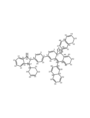 CC12C=CC(c3ccc(C4Nc5ccccc5N4C4CC=CCC4)cc3)=CC1=C(C1=CC3C=CC=CC3C=C1)C1=CCCC=C1C2c1ccc2c(c1)CCC=C2